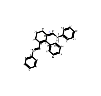 C(=Nc1ccccc1)C1=C(c2ccccc2)/C(=C\Nc2ccccc2)CCC1